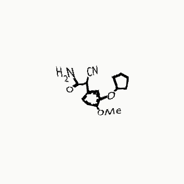 COc1ccc(C(C#N)C(N)=O)cc1OC1CCCC1